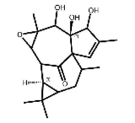 CC1=CC23C(=O)C(C4OC4(C)C(O)[C@]2(O)C1O)[C@H]1C(CC3C)C1(C)C